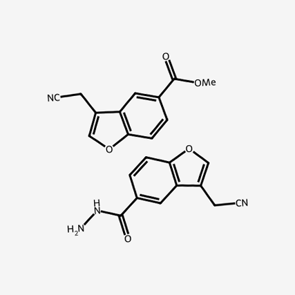 COC(=O)c1ccc2occ(CC#N)c2c1.N#CCc1coc2ccc(C(=O)NN)cc12